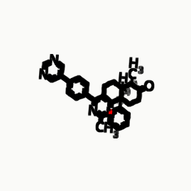 Cc1nc(-c2ccc(-c3cncnc3)cc2)c2c(n1)[C@@]1(c3ccccc3)CCC(=O)[C@@H](C)[C@@H]1CC2